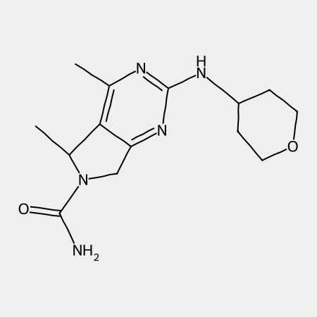 Cc1nc(NC2CCOCC2)nc2c1C(C)N(C(N)=O)C2